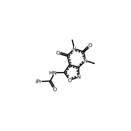 CC(C)C(=O)Nc1onc2c1c(=O)n(C)c(=O)n2C